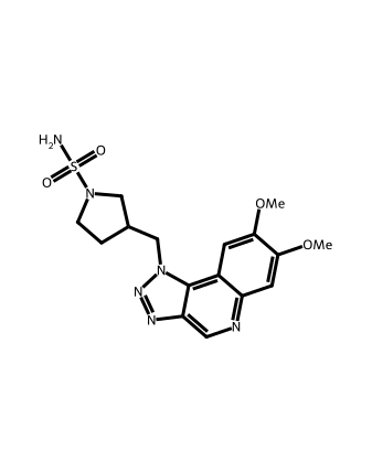 COc1cc2ncc3nnn(CC4CCN(S(N)(=O)=O)C4)c3c2cc1OC